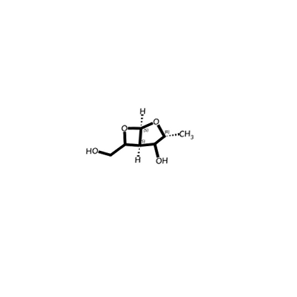 C[C@H]1O[C@@H]2OC(CO)[C@@H]2C1O